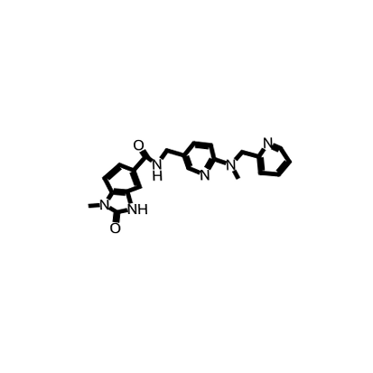 CN(Cc1ccccn1)c1ccc(CNC(=O)c2ccc3c(c2)[nH]c(=O)n3C)cn1